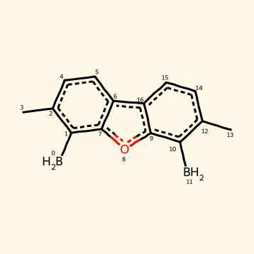 Bc1c(C)ccc2c1oc1c(B)c(C)ccc12